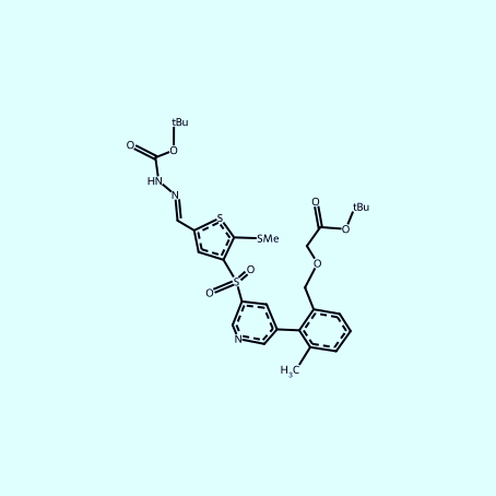 CSc1sc(C=NNC(=O)OC(C)(C)C)cc1S(=O)(=O)c1cncc(-c2c(C)cccc2COCC(=O)OC(C)(C)C)c1